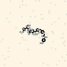 Nc1nc(/C(=N/O)C(=O)N[C@@H]2C(=O)N3C(C(=O)[O-])=C(/C=C4\CCN(Cc5cc[n+](CC(=O)Nc6ccc(O)cc6)cc5)C4=O)CS[C@H]23)ns1